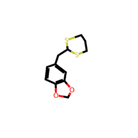 c1cc2c(cc1CC1SCCCS1)OCO2